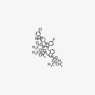 CC(=O)OC1CN(c2cc(Cl)ccc2N)CCC1n1c(=NC(=O)OC(C)(C)C)n(Cc2cccc3c2ccn3C(=O)OC(C)(C)C)c2ccc(F)cc21